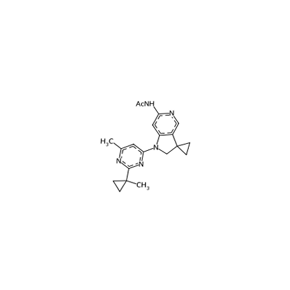 CC(=O)Nc1cc2c(cn1)C1(CC1)CN2c1cc(C)nc(C2(C)CC2)n1